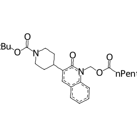 CCCCCC(=O)OCn1c(=O)c(C2CCN(C(=O)OC(C)(C)C)CC2)cc2ccccc21